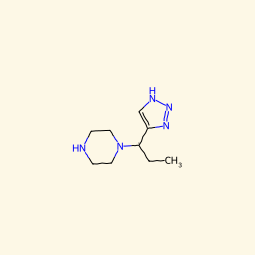 CC[C](c1c[nH]nn1)N1CCNCC1